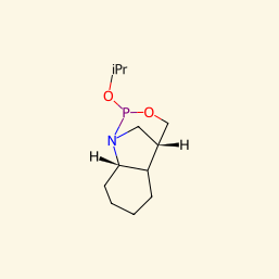 CC(C)OP1OC[C@H]2CN1[C@H]1CCCCC21